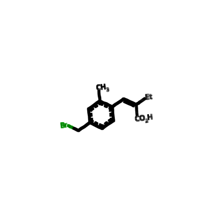 CCC(=Cc1ccc(CBr)cc1C)C(=O)O